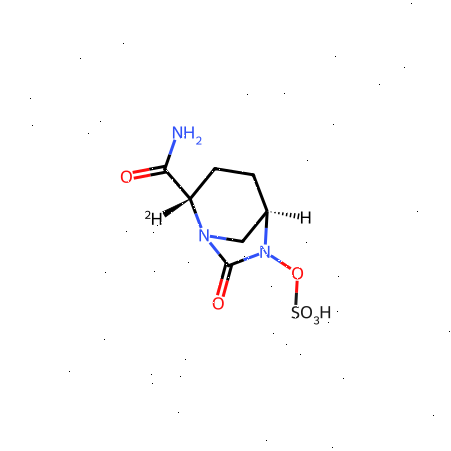 [2H][C@@]1(C(N)=O)CC[C@@H]2CN1C(=O)N2OS(=O)(=O)O